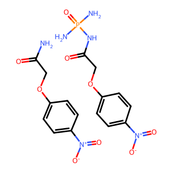 NC(=O)COc1ccc([N+](=O)[O-])cc1.NP(N)(=O)NC(=O)COc1ccc([N+](=O)[O-])cc1